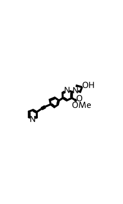 COC(=O)c1cc(-c2ccc(C#Cc3cccnc3)cc2)cnc1N1CC(O)C1